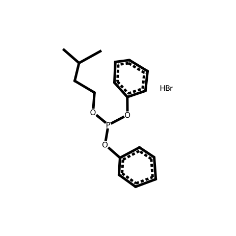 Br.CC(C)CCOP(Oc1ccccc1)Oc1ccccc1